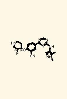 Cc1c(Nc2ncnc(-c3ccc(O[C@H]4CCNC[C@@H]4F)c(C#N)c3)n2)cnn1C